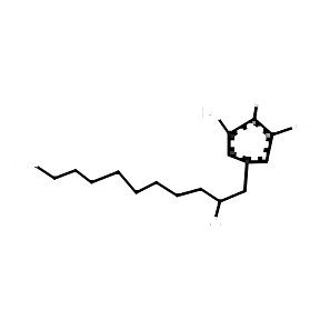 CC(C)(C)CCCCCCCCC(Cc1cc(C(C)(C)C)c(O)c(C(C)(C)C)c1)C(=O)O